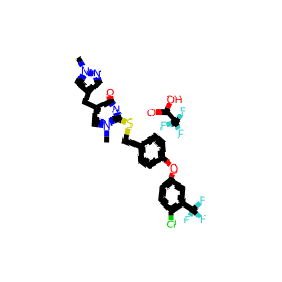 Cn1cc(Cc2cn(C)c(SCc3ccc(Oc4ccc(Cl)c(C(F)(F)F)c4)cc3)nc2=O)cn1.O=C(O)C(F)(F)F